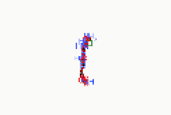 NC(=O)c1ccccc1Nc1nc(Nc2ccc(N3CCN(C(=O)NC4CCN(C5CN(CCC#Cc6ccc7c(c6)CN(C6CCC(=O)NC6=O)C7=O)C5)CC4)CC3)cc2)ncc1Cl